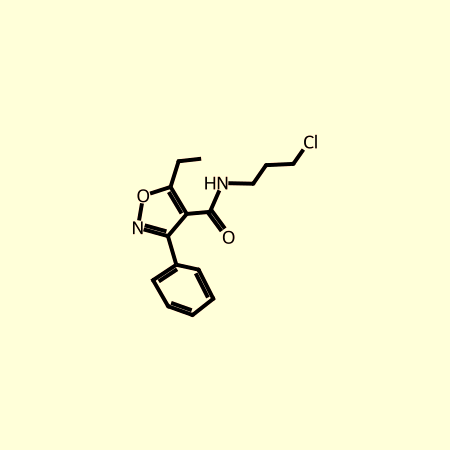 CCc1onc(-c2ccccc2)c1C(=O)NCCCCl